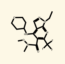 CCn1ncc2c(NC3CCOCC3)c(C(=O)N(C)OC)c(C(F)(F)F)nc21